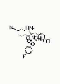 CN(C(=O)Oc1ccc(F)cc1)[C@]1(C(=O)C2CCC(C#N)CC2)CNC[C@H]1c1ccc(Cl)cc1